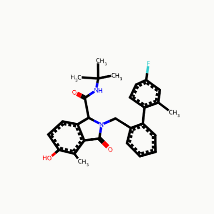 Cc1cc(F)ccc1-c1ccccc1CN1C(=O)c2c(ccc(O)c2C)C1C(=O)NC(C)(C)C